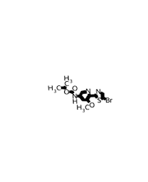 COc1cc(NC(=O)OC(C)C)cnc1-c1ncc(Br)s1